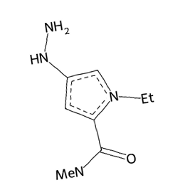 CCn1cc(NN)cc1C(=O)NC